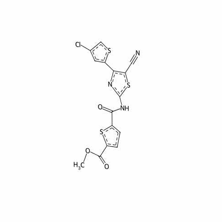 COC(=O)c1ccc(C(=O)Nc2nc(-c3cc(Cl)cs3)c(C#N)s2)s1